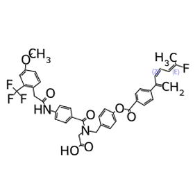 C=C(/C=C\C=C(/C)F)c1ccc(C(=O)Oc2ccc(CN(CC(=O)O)C(=O)c3ccc(NC(=O)Cc4ccc(OC)cc4C(F)(F)F)cc3)cc2)cc1